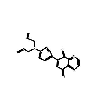 C=CCN(CC=C)c1ccc(C2=CC(=O)c3cccnc3C2=O)cc1